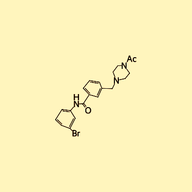 CC(=O)N1CCN(Cc2cccc(C(=O)Nc3cccc(Br)c3)c2)CC1